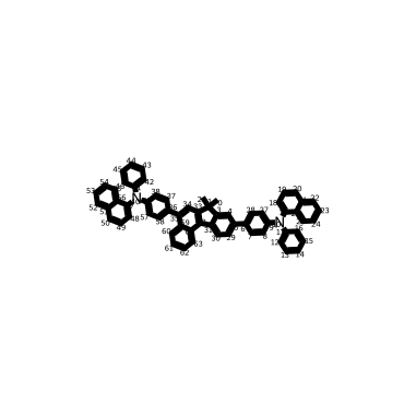 CC1(C)c2cc(-c3ccc(N(c4ccccc4)c4cccc5ccccc45)cc3)ccc2-c2c1cc(-c1ccc(N(c3ccccc3)c3cccc4ccccc34)cc1)c1ccccc21